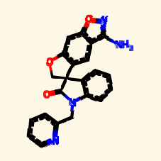 Nc1noc2cc3c(cc12)C1(CO3)C(=O)N(Cc2ccccn2)c2ccccc21